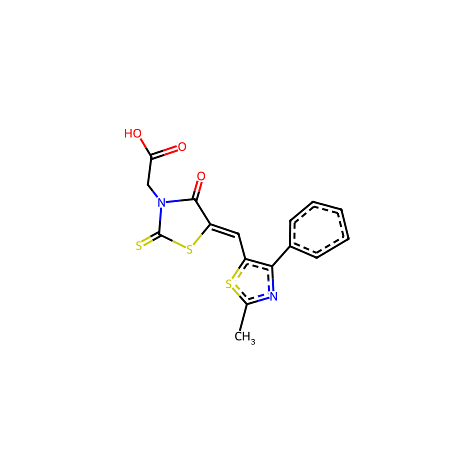 Cc1nc(-c2ccccc2)c(C=C2SC(=S)N(CC(=O)O)C2=O)s1